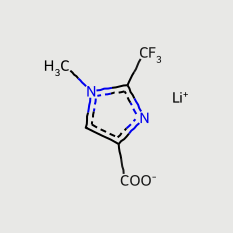 Cn1cc(C(=O)[O-])nc1C(F)(F)F.[Li+]